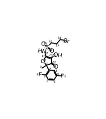 CC1(c2cc(F)ccc2F)OC(NS(=O)(=O)CCCBr)=C(O)C1=O